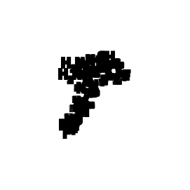 C=C(/N=C(N)\N=C(/N)c1noc(-c2ccc(OCC(F)(F)F)nc2)n1)N(C)c1ccc(F)cc1F